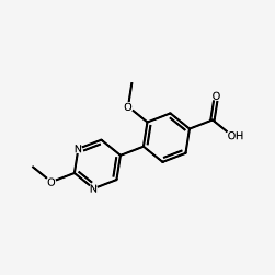 COc1ncc(-c2ccc(C(=O)O)cc2OC)cn1